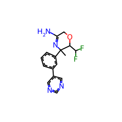 CC1(c2cccc(-c3cncnc3)c2)N=C(N)COC1C(F)F